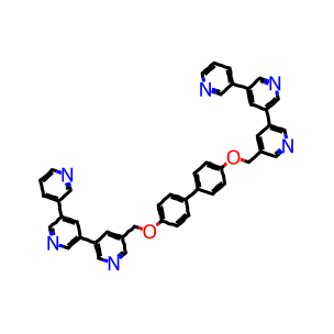 c1cncc(-c2cncc(-c3cncc(COc4ccc(-c5ccc(OCc6cncc(-c7cncc(-c8cccnc8)c7)c6)cc5)cc4)c3)c2)c1